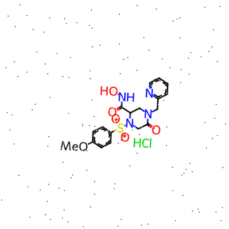 COc1ccc(S(=O)(=O)N2CC(=O)N(Cc3ccccn3)CC2C(=O)NO)cc1.Cl